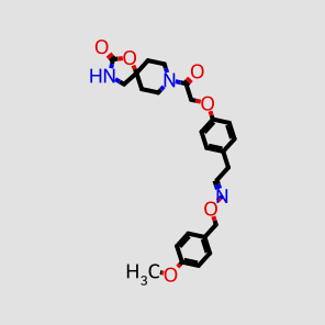 COc1ccc(CON=CCc2ccc(OCC(=O)N3CCC4(CC3)CNC(=O)O4)cc2)cc1